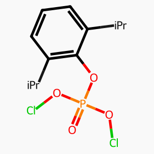 CC(C)c1cccc(C(C)C)c1OP(=O)(OCl)OCl